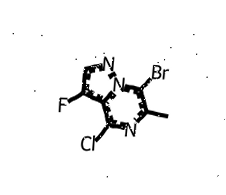 Cc1nc(Cl)c2c(F)cnn2c1Br